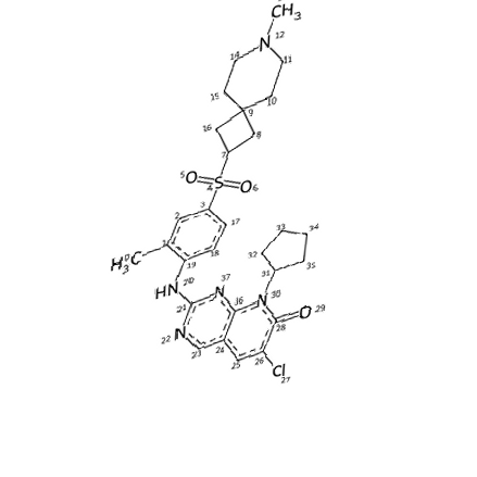 Cc1cc(S(=O)(=O)C2CC3(CCN(C)CC3)C2)ccc1Nc1ncc2cc(Cl)c(=O)n(C3CCCC3)c2n1